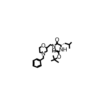 CC(C)C[C@H](NC(=O)OC(C)(C)C)C(=O)NCC1CN(Cc2ccccc2)CCO1